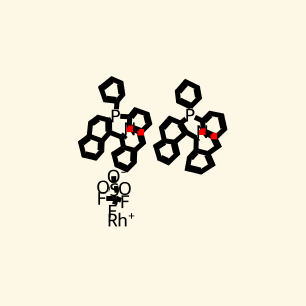 O=S(=O)([O-])C(F)(F)F.[Rh+].c1ccc(P(c2ccccc2)c2ccc3ccccc3c2-c2nccc3ccccc23)cc1.c1ccc(P(c2ccccc2)c2ccc3ccccc3c2-c2nccc3ccccc23)cc1